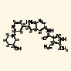 Cc1[nH]nc(C(=O)Nc2cnc3[nH]c(-c4ccnc(N5CCCC(O)C5)c4)cc3c2)c1C